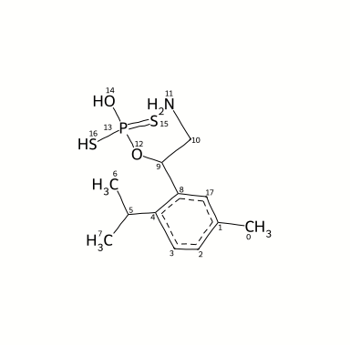 Cc1ccc(C(C)C)c(C(CN)OP(O)(=S)S)c1